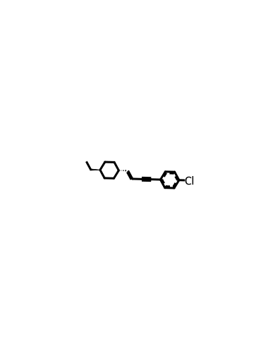 CC[C@H]1CC[C@H](C=CC#Cc2ccc(Cl)cc2)CC1